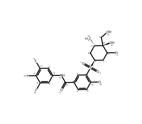 CCC1C[C@@H](S(=O)(=O)c2cc(C(=O)Nc3cc(F)c(F)c(F)c3)ccc2Cl)C[C@H](C)[C@]1(O)CO